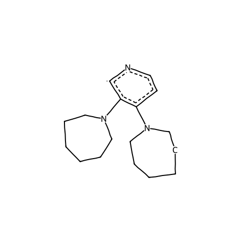 [c]1nccc(N2CCCCCC2)c1N1CCCCCC1